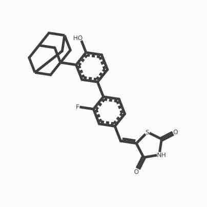 O=C1NC(=O)/C(=C/c2ccc(-c3ccc(O)c(C45CC6CC(CC(C6)C4)C5)c3)c(F)c2)S1